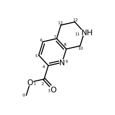 COC(=O)c1ccc2c(n1)CNCC2